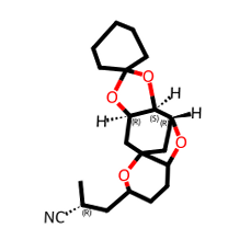 C[C@@H](C#N)CC1CCC2O[C@@H]3CC2(C[C@H]2OC4(CCCCC4)O[C@@H]32)O1